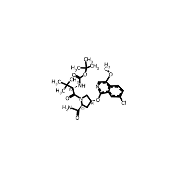 COc1cnc(O[C@@H]2C[C@@H](C(N)=O)N(C(=O)[C@@H](NC(=O)OC(C)(C)C)C(C)(C)C)C2)c2cc(Cl)ccc12